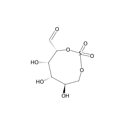 O=C[C@@H]1OS(=O)(=O)OC[C@@H](O)[C@H](O)[C@@H]1O